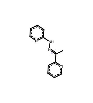 C/C(=N\Nc1ccccn1)c1ccccn1